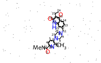 CNC(=O)c1ccc(N2CCN(Cc3ccc4c5c(c(=O)[nH]c4c3)CCO5)CC2)c(C)n1